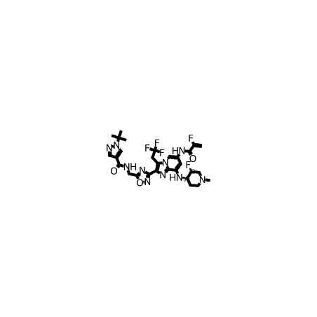 C=C(F)C(=O)Nc1cc(N[C@@H]2CCN(C)C[C@@H]2F)c2nc(-c3noc(CNC(=O)c4cnn(C(C)(C)C)c4)n3)c(CC(F)(F)F)n2c1